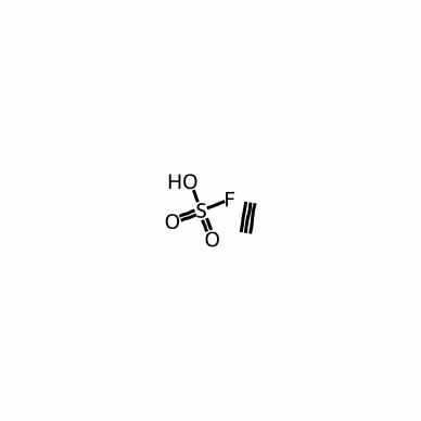 C#C.O=S(=O)(O)F